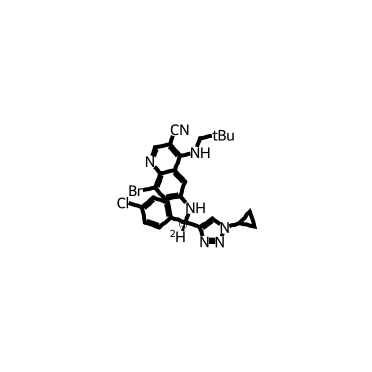 [2H][C@](Nc1cc(Br)c2ncc(C#N)c(NCC(C)(C)C)c2c1)(c1ccc(Cl)cc1)c1cn(C2CC2)nn1